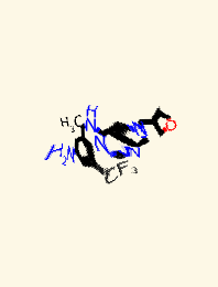 CC(Nc1ncnc2c1CN(CC1CCOC1)C2)c1cc(N)cc(C(F)(F)F)c1